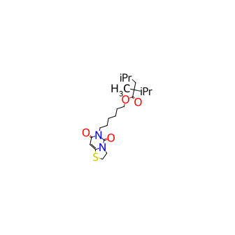 CC(C)CC(C)(C(=O)OCCCCCCn1c(=O)cc2n(c1=O)CCS2)C(C)C